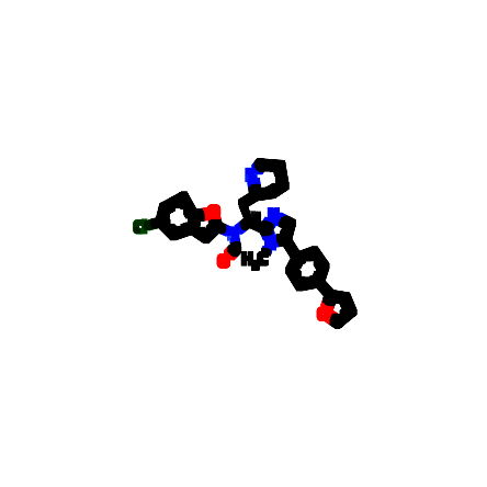 Cn1c(-c2ccc(-c3ccco3)cc2)cnc1[C@H](Cc1ccccn1)N(C=O)c1cc2cc(Cl)ccc2o1